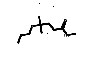 CCCOC(C)(C)CCC(=O)NC